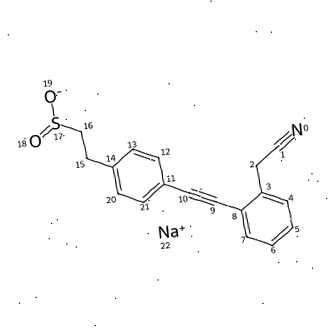 N#CCc1ccccc1C#Cc1ccc(CCS(=O)[O-])cc1.[Na+]